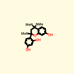 CNC1(NC)CC(NC)(c2ccc(O)cc2O)Oc2cc(O)ccc21